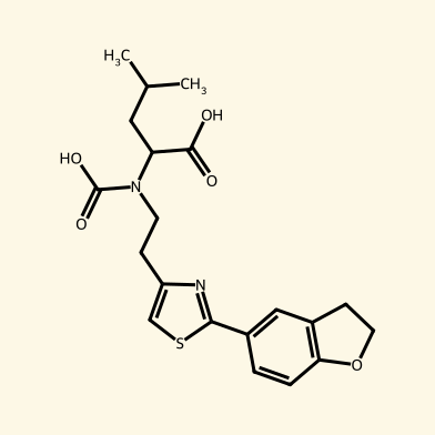 CC(C)CC(C(=O)O)N(CCc1csc(-c2ccc3c(c2)CCO3)n1)C(=O)O